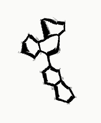 [c]1c(-c2cc3ccccc3c3ccccc23)ccc2ccccc12